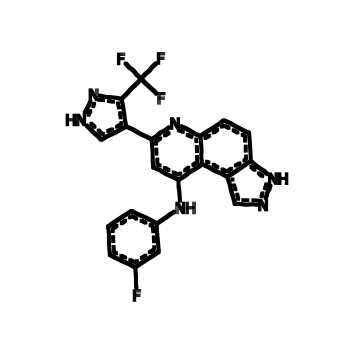 Fc1cccc(Nc2cc(-c3c[nH]nc3C(F)(F)F)nc3ccc4[nH]ncc4c23)c1